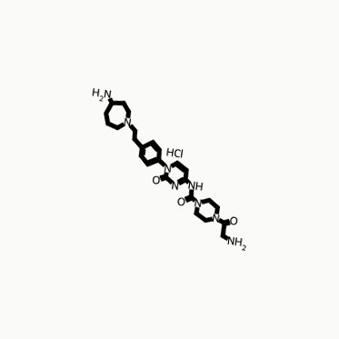 Cl.NCC(=O)N1CCN(C(=O)Nc2ccn(-c3ccc(CCN4CCCC(N)CC4)cc3)c(=O)n2)CC1